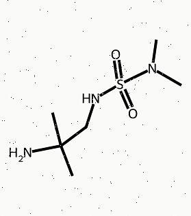 CN(C)S(=O)(=O)NCC(C)(C)N